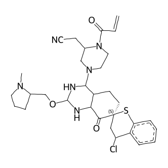 C=CC(=O)N1CCN(C2NC(OCC3CCCN3C)NC3C(=O)[C@]4(CCC32)CC(Cl)c2ccccc2S4)CC1CC#N